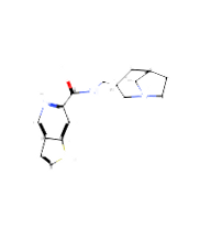 O=C(NC[C@H]1CC2CCN(C2)C1)c1cc2sccc2cn1